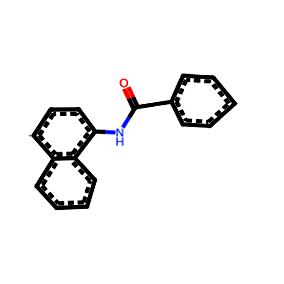 O=C(Nc1cc[c]c2ccccc12)c1ccccc1